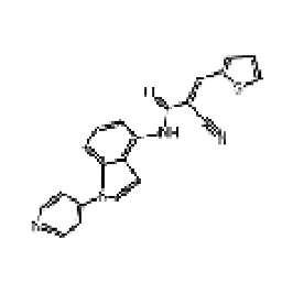 N#CC(=Cc1cccs1)C(=O)Nc1cccc2c1ccn2-c1ccncc1